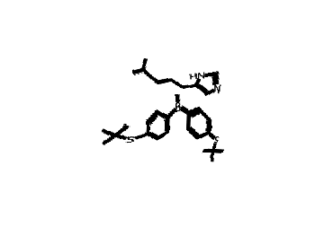 CB(c1ccc(SC(C)(C)C)cc1)c1ccc(SC(C)(C)C)cc1.CC(C)CCCc1cnc[nH]1